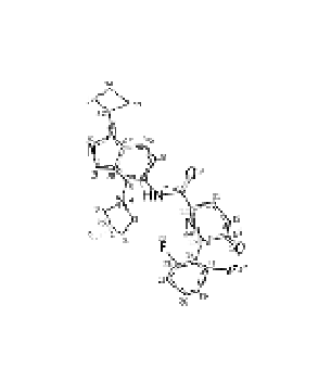 C[C@H]1CCN(c2c(NC(=O)c3ccc(=O)n(-c4c(F)cccc4F)n3)ccc3c2cnn3C2CCC2)C1